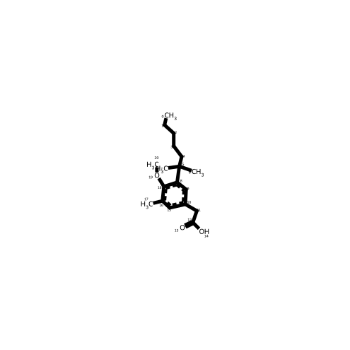 CCCCCC(C)(C)c1cc(CC(=O)O)cc(C)c1OC